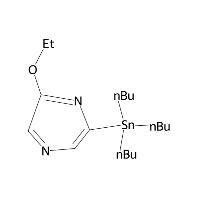 CCC[CH2][Sn]([CH2]CCC)([CH2]CCC)[c]1cncc(OCC)n1